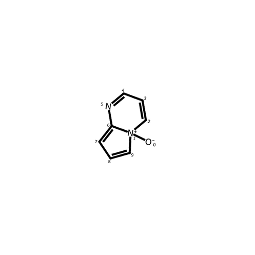 [O-][N+]12C=CC=NC1=CC=C2